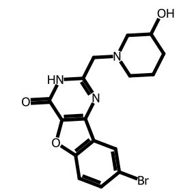 O=c1[nH]c(CN2CCCC(O)C2)nc2c1oc1ccc(Br)cc12